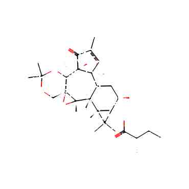 CC[C@H](C)C(=O)O[C@@]12[C@H](O)[C@@H](C)[C@@]3(O)[C@@H]([C@@H]4O[C@@]45COC(C)(C)O[C@H]5[C@]4(O)C(=O)C(C)=C[C@H]43)[C@H]1C2(C)C